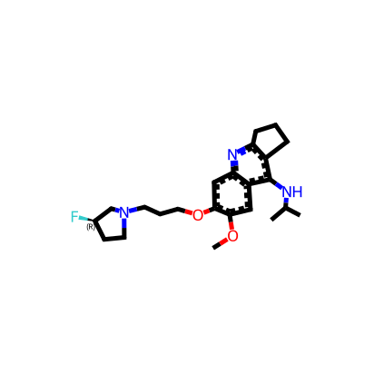 COc1cc2c(NC(C)C)c3c(nc2cc1OCCCN1CC[C@@H](F)C1)CCC3